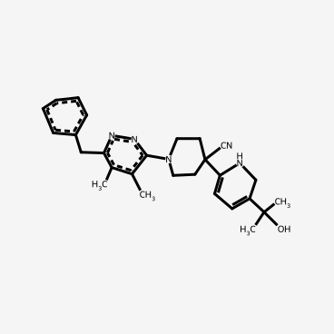 Cc1c(Cc2ccccc2)nnc(N2CCC(C#N)(C3=CC=C(C(C)(C)O)CN3)CC2)c1C